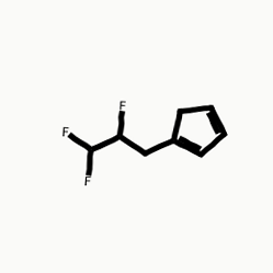 FC(F)C(F)CC1=CC=CC1